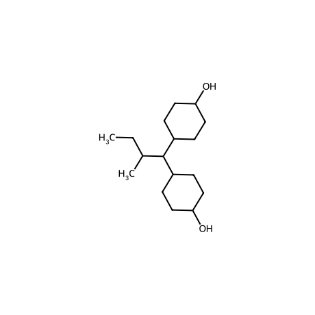 CCC(C)C(C1CCC(O)CC1)C1CCC(O)CC1